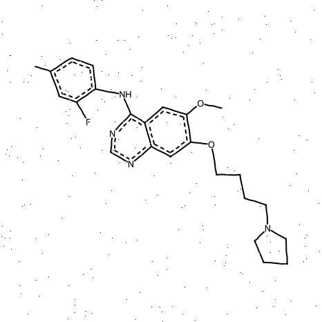 COc1cc2c(Nc3ccc(C)cc3F)ncnc2cc1OCCCCN1CCCC1